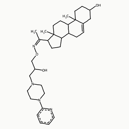 C/C(=N/OCC(O)CN1CCN(c2ccccn2)CC1)C1CCC2C3CC=C4CC(O)CCC4(C)C3CCC12C